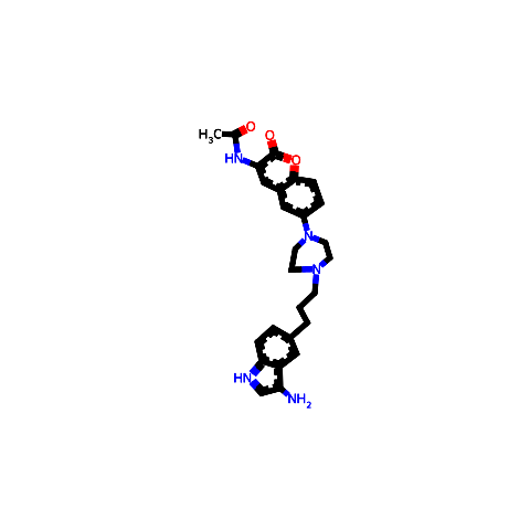 CC(=O)Nc1cc2cc(N3CCN(CCCc4ccc5[nH]cc(N)c5c4)CC3)ccc2oc1=O